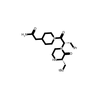 CC(C)C[C@@H](C(=O)N1CCC(CC(N)=O)CC1)N1CCN[C@@H](CC(C)(C)C)C1=O